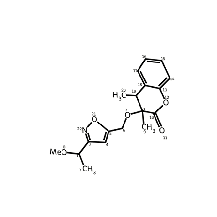 COC(C)c1cc(COC2(C)C(=O)Oc3ccccc3C2C)on1